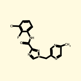 Cc1cnc(Cn2cnc(C(=O)Nc3cccc(Cl)c3F)n2)cn1